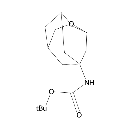 CC(C)(C)OC(=O)NC12CC3COC(CC(C3)C1)C2